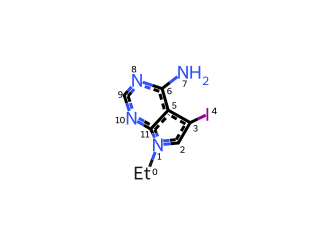 CCn1cc(I)c2c(N)ncnc21